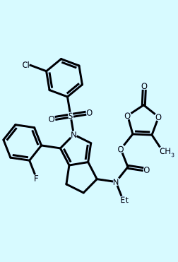 CCN(C(=O)Oc1oc(=O)oc1C)C1CCc2c1cn(S(=O)(=O)c1cccc(Cl)c1)c2-c1ccccc1F